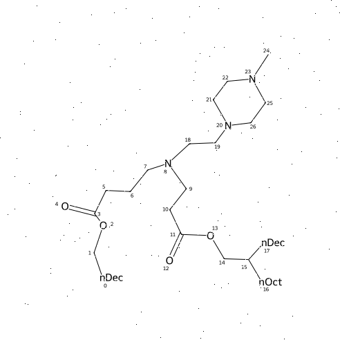 CCCCCCCCCCCOC(=O)CCCN(CCC(=O)OCC(CCCCCCCC)CCCCCCCCCC)CCN1CCN(C)CC1